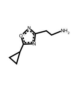 NCCc1noc(C2CC2)n1